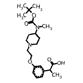 CC(C(=O)O)c1cccc(OCCN2CCC(N(C)C(=O)OC(C)(C)C)CC2)c1